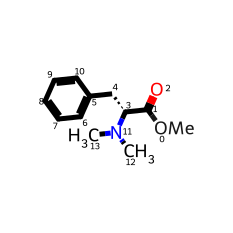 COC(=O)[C@@H](Cc1ccccc1)N(C)C